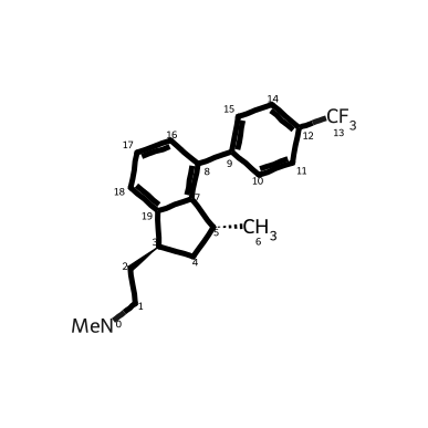 CNCC[C@@H]1C[C@@H](C)c2c(-c3ccc(C(F)(F)F)cc3)cccc21